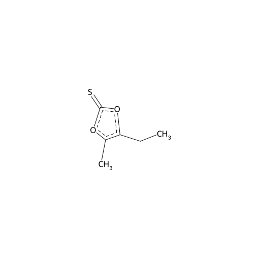 CCc1oc(=S)oc1C